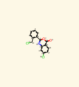 O=c1oc(-c2ccccc2CCl)nc2cc(Cl)ccc12